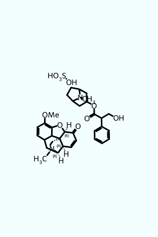 CN1C2CCC1CC(OC(=O)C(CO)c1ccccc1)C2.COC1=C2O[C@H]3C(=O)C=C[C@H]4[C@H]5CC(C=C1)C2[C@@]34CCN5C.O=S(=O)(O)O